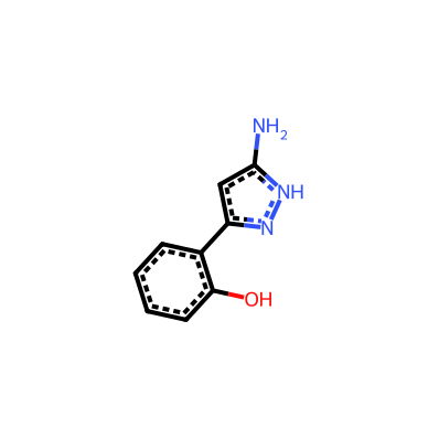 Nc1cc(-c2ccccc2O)n[nH]1